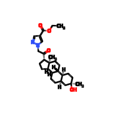 CCOC(=O)c1cnn(CC(=O)[C@H]2CC[C@H]3[C@@H]4CC[C@@H]5C[C@](C)(O)CC[C@@H]5[C@H]4CC[C@]23C)c1